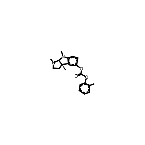 Cc1ccccc1OC(=O)Oc1ccc2c(c1)[C@]1(C)CCN(C)C1N2C